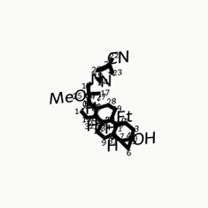 CC[C@]12CC[C@]3(O)CC3[C@H]1CC[C@H]1[C@@H]3CC[C@H]([C@](C)(Cn4cc(C#N)cn4)OC)[C@@]3(C)CC[C@@H]12